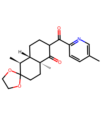 Cc1ccc(C(=O)C2CC[C@H]3[C@H](C)C4(CC[C@]3(C)C2=O)OCCO4)nc1